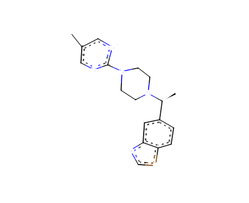 Cc1cnc(N2CCN([C@@H](C)c3ccc4scnc4c3)CC2)nc1